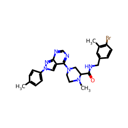 Cc1ccc(-n2cc3c(N4CCN(C)C(C(=O)NCc5ccc(Br)c(C)c5)C4)ncnc3n2)cc1